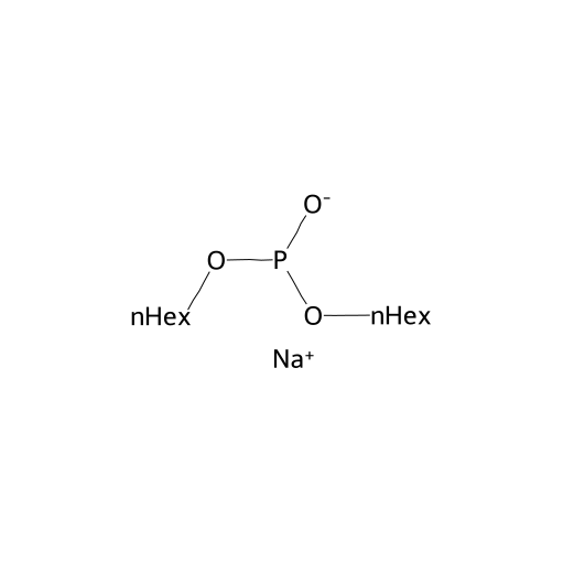 CCCCCCOP([O-])OCCCCCC.[Na+]